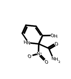 NC(=O)C1([N+](=O)[O-])NC=CC=C1O